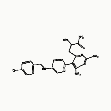 CCCCC(Cc1nc(N)nc(N)c1-c1ccc(NCc2ccc(Cl)cc2)cc1)C(N)=O